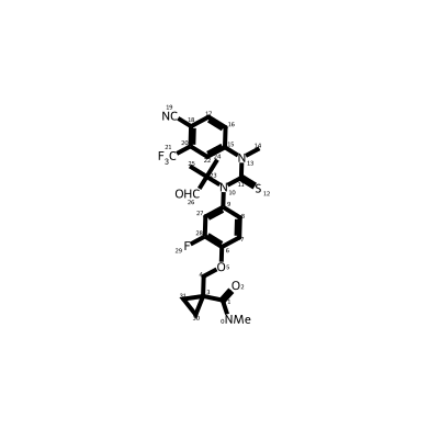 CNC(=O)C1(COc2ccc(N(C(=S)N(C)c3ccc(C#N)c(C(F)(F)F)c3)C(C)(C)C=O)cc2F)CC1